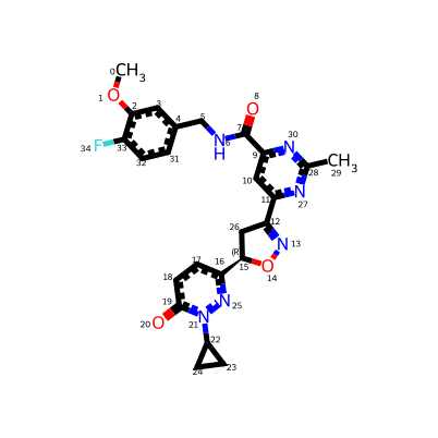 COc1cc(CNC(=O)c2cc(C3=NO[C@@H](c4ccc(=O)n(C5CC5)n4)C3)nc(C)n2)ccc1F